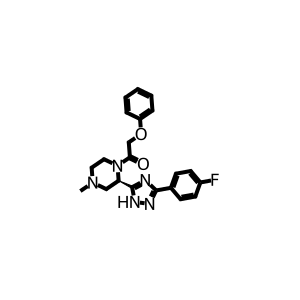 CN1CCN(C(=O)COc2ccccc2)[C@@H](c2nc(-c3ccc(F)cc3)n[nH]2)C1